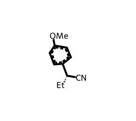 CC[C@@H](C#N)c1ccc(OC)cc1